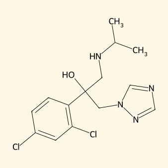 CC(C)NCC(O)(Cn1cncn1)c1ccc(Cl)cc1Cl